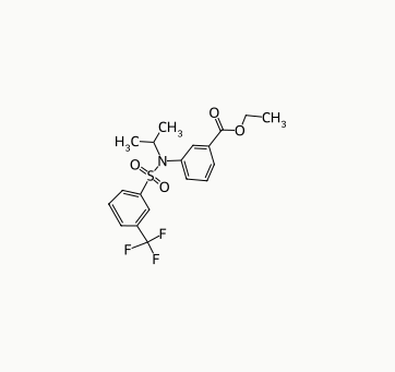 CCOC(=O)c1cccc(N(C(C)C)S(=O)(=O)c2cccc(C(F)(F)F)c2)c1